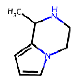 CC1NCCn2cccc21